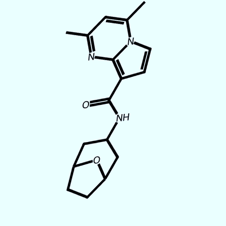 Cc1cc(C)n2ccc(C(=O)NC3CC4CCC(C3)O4)c2n1